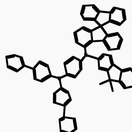 CC1(C)c2ccccc2-c2ccc(N(c3ccc(N(c4ccc(-c5ccccc5)cc4)c4ccc(-c5ccccc5)cc4)cc3)c3cccc4c3-c3ccccc3C43c4ccccc4-c4ccccc43)cc21